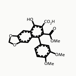 COC(=O)c1c(C(=O)O)c(O)c2cc3c(cc2c1-c1ccc(OC)c(OC)c1)OCO3